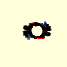 CN[C@@H](C)C(=O)N[C@H](C(=O)N1C[C@@H]2C[C@H]1C(=O)N[C@@H](Cc1ccc3ccccc3c1)C(=O)N[C@H](C(=O)O)Cc1ccc(cc1)OCc1cn(nn1)[C@H]1C[C@@H](C(=O)N[C@@H](Cc3ccc4ccccc4c3)C(=O)N[C@H](C(=O)O)Cc3ccc(cc3)OCc3cn2nn3)N(C(=O)[C@@H](NC(=O)[C@H](C)NC)C23CC4CC(CC(C4)C2)C3)C1)C12CC3CC(CC(C3)C1)C2